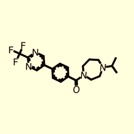 CC(C)N1CCCN(C(=O)c2ccc(-c3cnc(C(F)(F)F)nc3)cc2)CC1